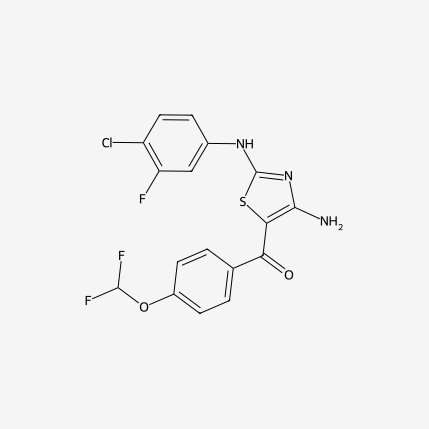 Nc1nc(Nc2ccc(Cl)c(F)c2)sc1C(=O)c1ccc(OC(F)F)cc1